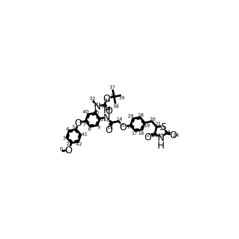 COc1ccc(Oc2ccc(NC(=O)COc3ccc(CC4SC(=O)NC4=O)cc3)c(N(C)C(=O)OC(C)(C)C)c2)cc1